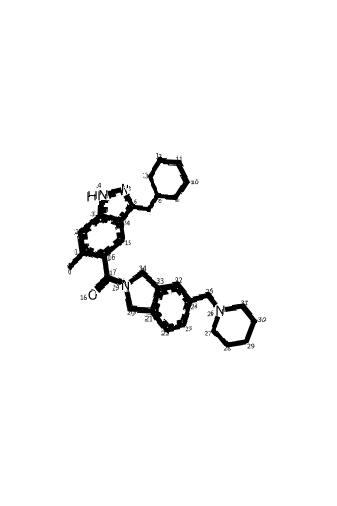 Cc1cc2[nH]nc(CC3CCCCC3)c2cc1C(=O)N1Cc2ccc(CN3CCCCC3)cc2C1